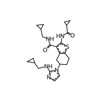 O=C(NCC1CC1)c1c(NC(=O)C2CC2)sc2c1CC(n1ccnc1NCC1CC1)CC2